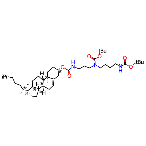 CC(C)CCC[C@@H](C)[C@H]1CC[C@H]2[C@@H]3CC=C4C[C@@H](OC(=O)NCCCN(CCCCNC(=O)OC(C)(C)C)C(=O)OC(C)(C)C)CC[C@]4(C)[C@H]3CC[C@]12C